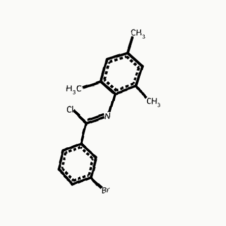 Cc1cc(C)c(/N=C(\Cl)c2cccc(Br)c2)c(C)c1